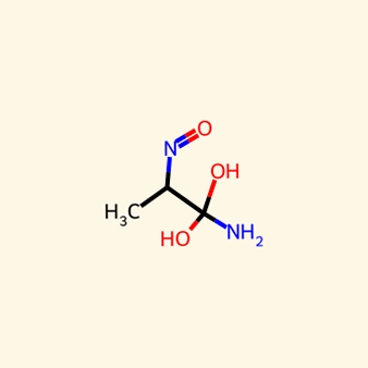 CC(N=O)C(N)(O)O